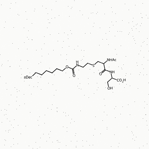 CCCCCCCCCCCCCCCCOC(=O)NCCSCC(NC(C)=O)C(=O)NC(CO)C(=O)O